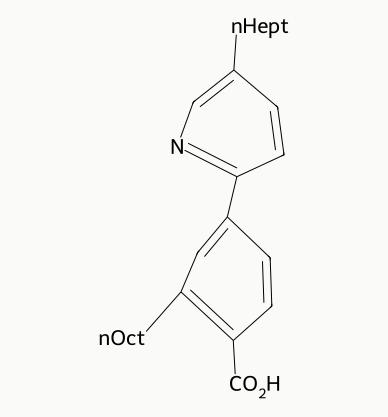 CCCCCCCCc1cc(-c2ccc(CCCCCCC)cn2)ccc1C(=O)O